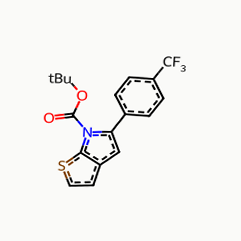 CC(C)(C)OC(=O)n1c(-c2ccc(C(F)(F)F)cc2)cc2ccsc21